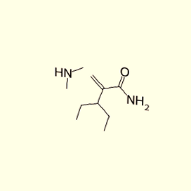 C=C(C(N)=O)C(CC)CC.CNC